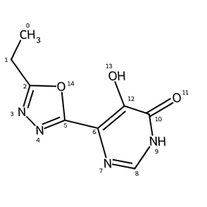 CCc1nnc(-c2nc[nH]c(=O)c2O)o1